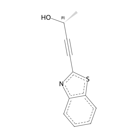 C[C@@H](O)C#Cc1nc2ccccc2s1